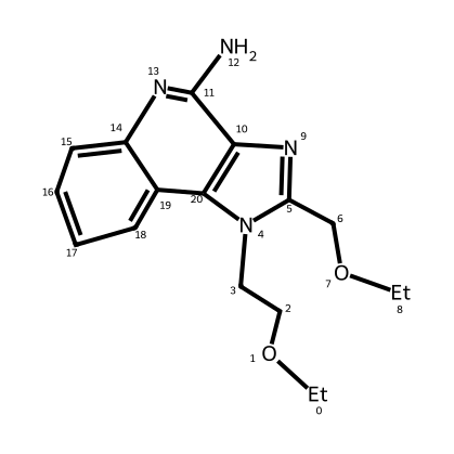 [CH2]COCCn1c(COCC)nc2c(N)nc3ccccc3c21